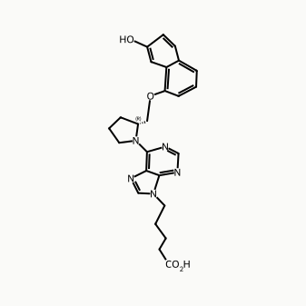 O=C(O)CCCCn1cnc2c(N3CCC[C@@H]3COc3cccc4ccc(O)cc34)ncnc21